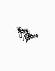 CC1(C)c2cc(F)ccc2N(c2ccc(-c3ccccc3)cc2)c2ccc(-c3cccc(-c4ccc5oc6ccccc6c5c4)c3)cc21